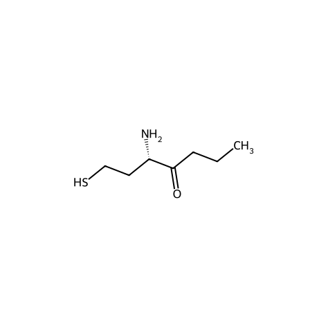 CCCC(=O)[C@@H](N)CCS